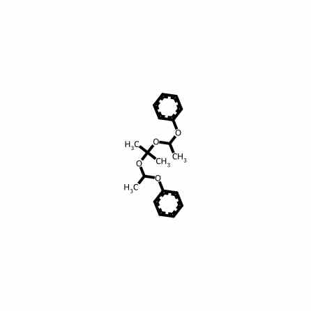 CC(Oc1ccccc1)OC(C)(C)OC(C)Oc1ccccc1